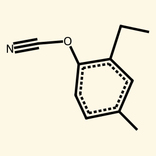 CCc1cc(C)ccc1OC#N